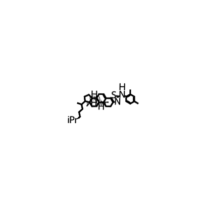 Cc1ccc(Nc2nc3c(s2)C2=CC[C@@H]4[C@H](CC[C@]5(C)C(C(C)CCCC(C)C)CC[C@@H]45)[C@@]2(C)CC3)c(C)c1